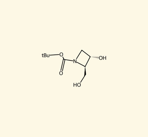 CC(C)(C)OC(=O)N1C[C@H](O)[C@H]1CO